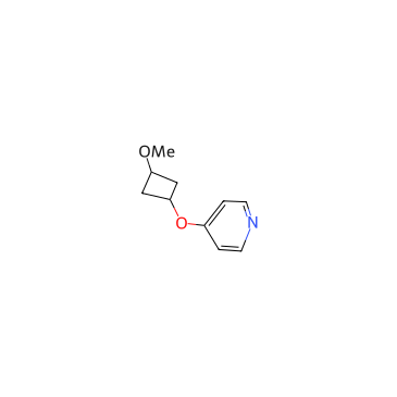 COC1CC(Oc2ccncc2)C1